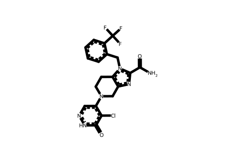 NC(=O)c1nc2c(n1Cc1ccccc1C(F)(F)F)CCN(c1cn[nH]c(=O)c1Cl)C2